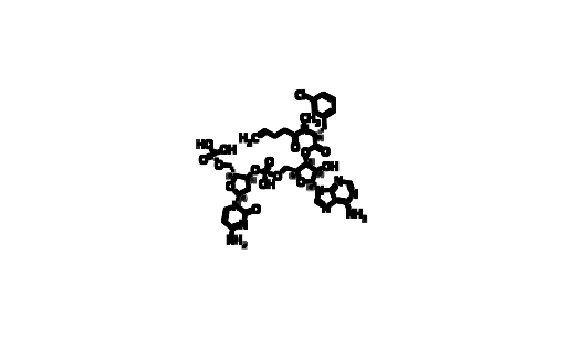 C=CCCC(=O)N(C)[C@H](Cc1cccc(Cl)c1)C(=O)O[C@H]1[C@@H](O)[C@H](n2cnc3c(N)ncnc32)O[C@H]1COP(=O)(O)O[C@H]1C[C@H](n2ccc(N)nc2=O)O[C@@H]1COP(=O)(O)O